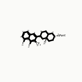 CCCCC[C@@H]1CC[C@@H]2CC(c3cc4cccc(F)c4c(F)c3C(F)(F)F)CCC2C1